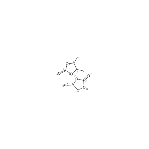 CC1OC(=O)OC1C.CCCC1COC(=O)O1